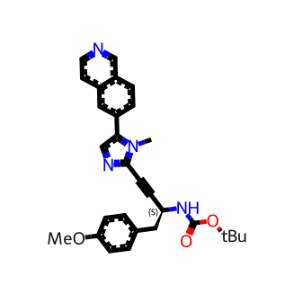 COc1ccc(C[C@@H](C#Cc2ncc(-c3ccc4cnccc4c3)n2C)NC(=O)OC(C)(C)C)cc1